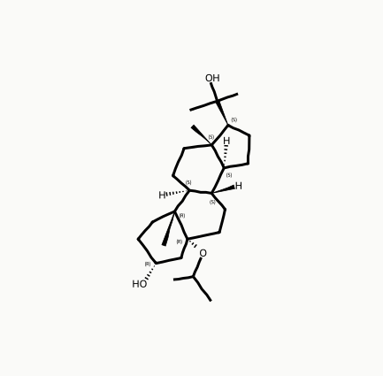 CC(C)O[C@@]12CC[C@H]3[C@@H]4CC[C@H](C(C)(C)O)[C@@]4(C)CC[C@@H]3[C@@]1(C)CC[C@@H](O)C2